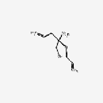 C=CCOC(CO)(CC=C)C(=O)O